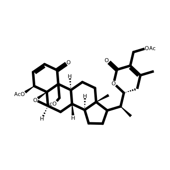 CC(=O)OCC1=C(C)C[C@H]([C@@H](C)C2CC[C@H]3[C@@H]4C[C@H]5O[C@]56[C@@H](OC(C)=O)C=CC(=O)C6(COC(C)=O)[C@H]4CC[C@]23C)OC1=O